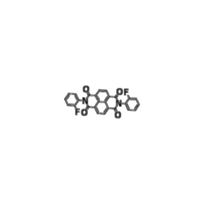 O=C1c2ccc3c4c(ccc(c24)C(=O)N1c1ccccc1F)C(=O)N(c1ccccc1F)C3=O